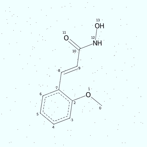 COc1ccccc1C=CC(=O)NO